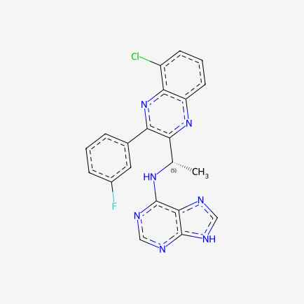 C[C@H](Nc1ncnc2[nH]cnc12)c1nc2cccc(Cl)c2nc1-c1cccc(F)c1